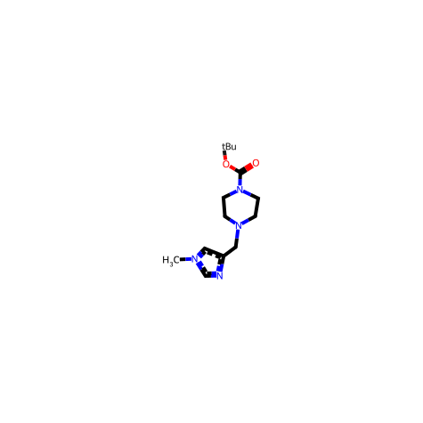 Cn1cnc(CN2CCN(C(=O)OC(C)(C)C)CC2)c1